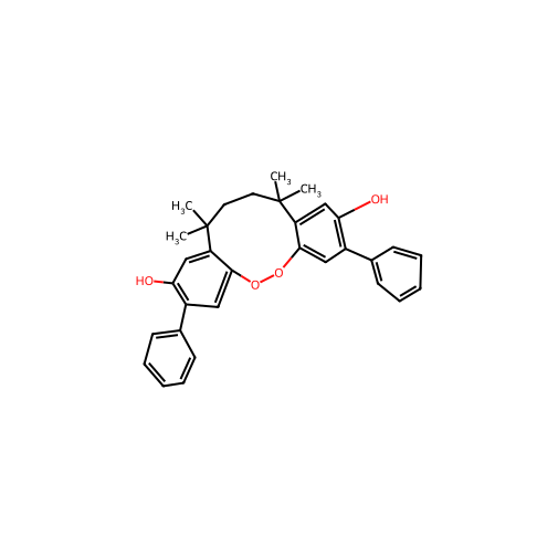 CC1(C)CCC(C)(C)c2cc(O)c(-c3ccccc3)cc2OOc2cc(-c3ccccc3)c(O)cc21